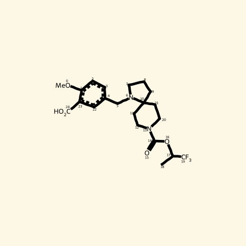 COc1ccc(CN2CCCC23CCN(C(=O)OC(C)C(F)(F)F)CC3)cc1C(=O)O